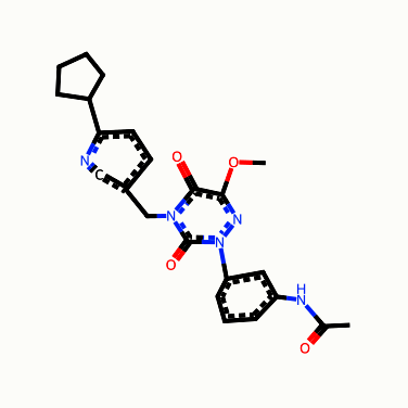 COc1nn(-c2cccc(NC(C)=O)c2)c(=O)n(Cc2ccc(C3CCCC3)nc2)c1=O